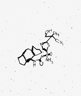 CC(O)(CO)c1ncc(S(N)(=O)=NC(=O)Nc2c3c(cc4c2CCC4)CCC3)s1